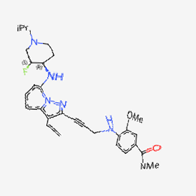 C=Cc1c(C#CCNc2ccc(C(=O)NC)cc2OC)nn2c(N[C@@H]3CCN(C(C)C)C[C@@H]3F)cccc12